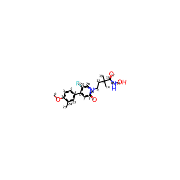 COc1ccc(-c2cc(=O)n(CCC(C)(C)C(=O)NO)cc2F)cc1C